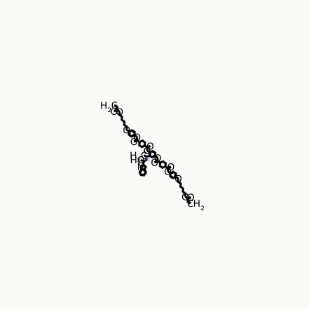 C=CC(=O)OCCCCCCOc1ccc(OC(=O)C2CCC(C(=O)Oc3ccc(OC(=O)C4CCC(C(=O)Oc5ccc(OCCCCCCOC(=O)C=C)cc5)CC4)c(/C(C)=C/C(O)C4=Nc5ccccc5C4)c3)CC2)cc1